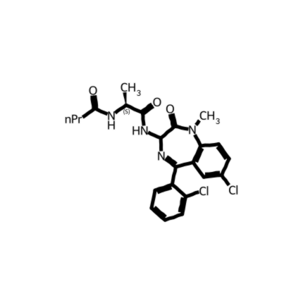 CCCC(=O)N[C@@H](C)C(=O)NC1N=C(c2ccccc2Cl)c2cc(Cl)ccc2N(C)C1=O